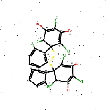 ClC1=C(Br)C(Cl)C(SSC2(c3ccccc3Cl)C(Cl)=C(Br)C(Cl)=C(Br)C2Cl)(c2ccccc2Cl)C(Cl)=C1Br